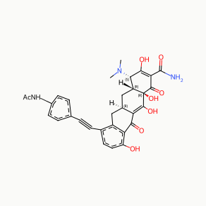 CC(=O)Nc1ccc(C#Cc2ccc(O)c3c2C[C@H]2C[C@@H]4[C@H](N(C)C)C(O)=C(C(N)=O)C(=O)[C@]4(O)C(O)=C2C3=O)cc1